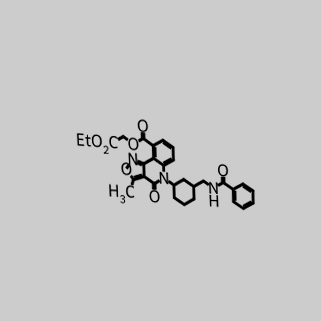 CCOC(=O)COC(=O)c1cccc2c1c1noc(C)c1c(=O)n2C1CCCC(CNC(=O)c2ccccc2)C1